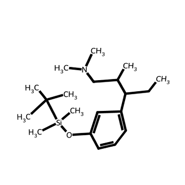 CCC(c1cccc(O[Si](C)(C)C(C)(C)C)c1)C(C)CN(C)C